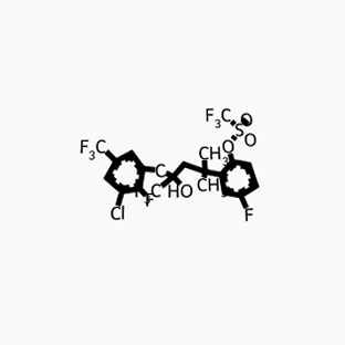 CC(C)(CC(O)(Cc1cc(C(F)(F)F)cc(Cl)c1F)C(F)(F)F)c1cc(F)ccc1OS(=O)(=O)C(F)(F)F